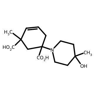 CC1(O)CCN(C2(C(=O)O)CC=CC(C)(C(=O)O)C2)CC1